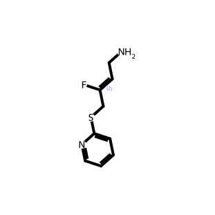 NC/C=C(\F)CSc1ccccn1